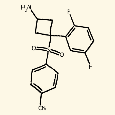 N#Cc1ccc(S(=O)(=O)C2(c3cc(F)ccc3F)CC(N)C2)cc1